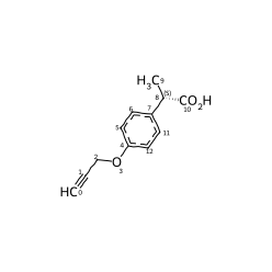 C#CCOc1ccc([C@H](C)C(=O)O)cc1